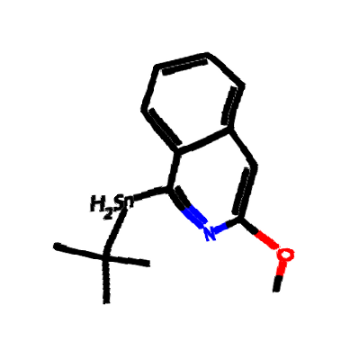 COc1cc2ccccc2[c]([SnH2][C](C)(C)C)n1